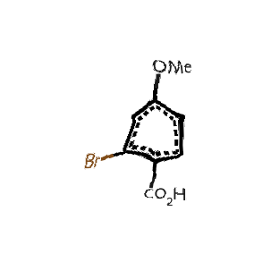 COc1ccc(C(=O)O)c(Br)c1